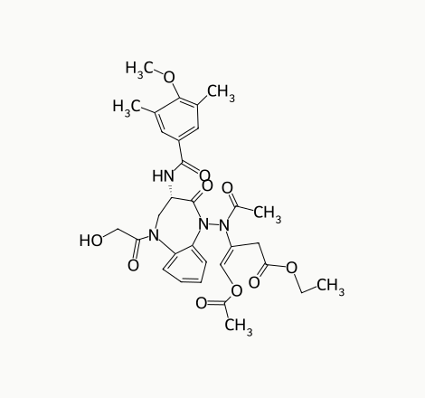 CCOC(=O)CC(=COC(C)=O)N(C(C)=O)N1C(=O)[C@@H](NC(=O)c2cc(C)c(OC)c(C)c2)CN(C(=O)CO)c2ccccc21